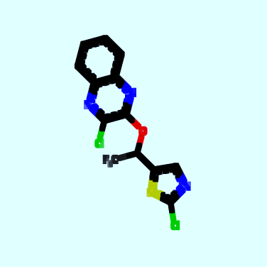 FC(F)(F)C(Oc1nc2ccccc2nc1Cl)c1cnc(Cl)s1